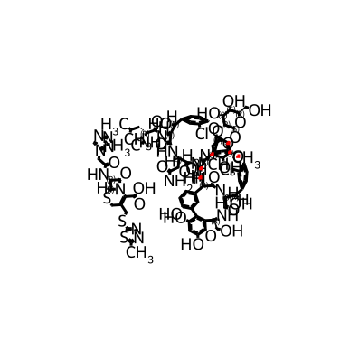 CN[C@H](CC(C)C)C(=O)N[C@H]1C(=O)N[C@@H](CC(N)=O)C(=O)N[C@H]2C(=O)N[C@H]3C(=O)N[C@H](C(=O)N[C@@H](C(=O)O)c4cc(O)cc(O)c4-c4cc3ccc4O)[C@H](O)c3ccc(c(Cl)c3)Oc3cc2cc(c3O[C@@H]2O[C@H](CO)[C@@H](O)[C@H](O)[C@H]2O[C@H]2C[C@](C)(N)C(O)[C@H](C)O2)Oc2ccc(cc2Cl)[C@H]1O.Cc1nnc(SCC2=C(C(=O)O)N3C(=O)[C@@H](NC(=O)Cn4cnnn4)[C@H]3SC2)s1